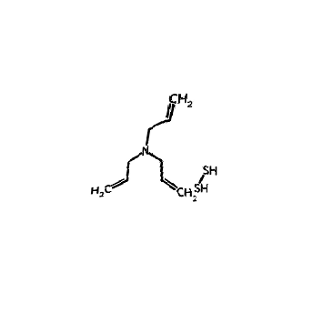 C=CCN(CC=C)CC=C.SS